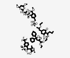 CCC/C(=N/OCC)C1=C(O)CC(CC(C)SCC)CC1=O.CCOC(=O)C1=NOC(c2ccccc2)(c2ccccc2)C1.COC(=O)c1ccc(CNS(C)(=O)=O)cc1S(=O)(=O)NC(=O)Nc1nc(OC)cc(OC)n1.Cc1nn(C)c(O)c1C(=O)c1ccc(C(F)(F)F)cc1S(C)(=O)=O